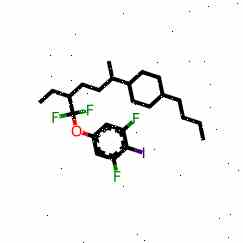 CCCCC1CCC(C(C)CCC(CC)C(F)(F)Oc2cc(F)c(I)c(F)c2)CC1